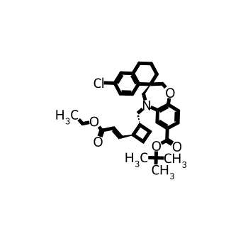 CCOC(=O)/C=C/[C@@H]1CC[C@H]1CN1C[C@@]2(CCCc3cc(Cl)ccc32)COc2ccc(C(=O)OC(C)(C)C)cc21